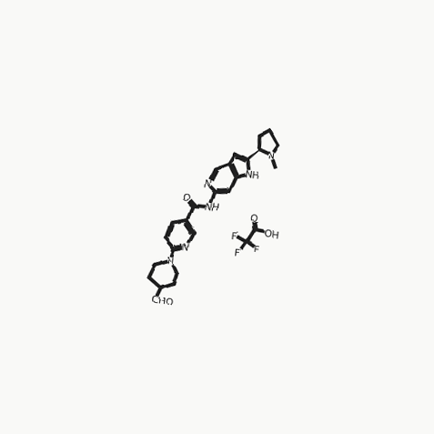 CN1CCC[C@@H]1c1cc2cnc(NC(=O)c3ccc(N4CCC(C=O)CC4)nc3)cc2[nH]1.O=C(O)C(F)(F)F